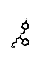 OCCCC(OCc1ccc(F)cc1)c1ccccc1